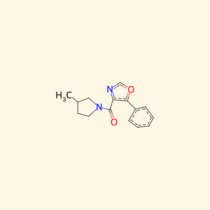 CC1CCN(C(=O)c2ncoc2-c2ccccc2)C1